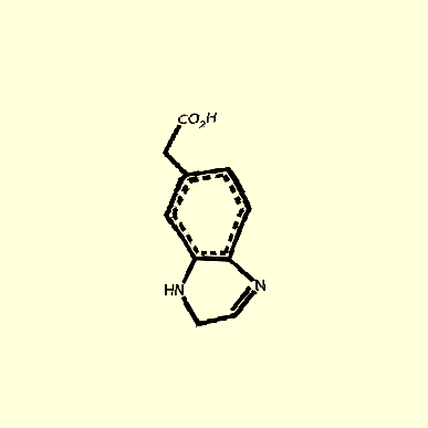 O=C(O)Cc1ccc2c(c1)NCC=N2